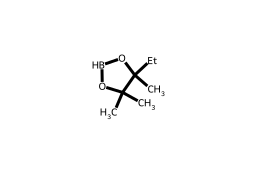 CCC1(C)OBOC1(C)C